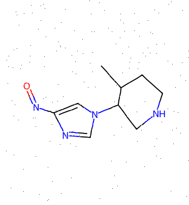 CC1CCNCC1n1cnc(N=O)c1